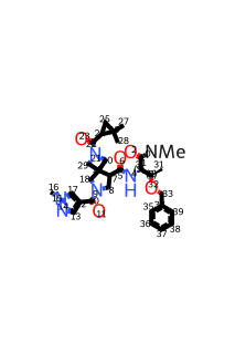 CNC(=O)[C@@H](NC(=O)C1CN(C(=O)c2cnn(C)c2)CC12CN(C(=O)C1CC1(C)C)C2)[C@@H](C)OCc1ccccc1